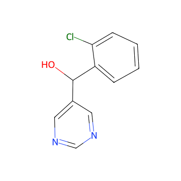 OC(c1cncnc1)c1ccccc1Cl